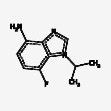 CC(C)n1cnc2c(N)ccc(F)c21